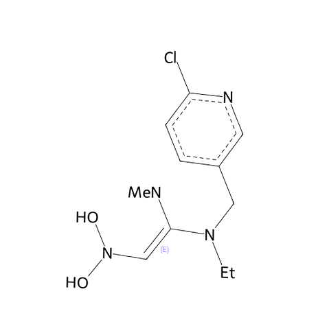 CCN(Cc1ccc(Cl)nc1)/C(=C/N(O)O)NC